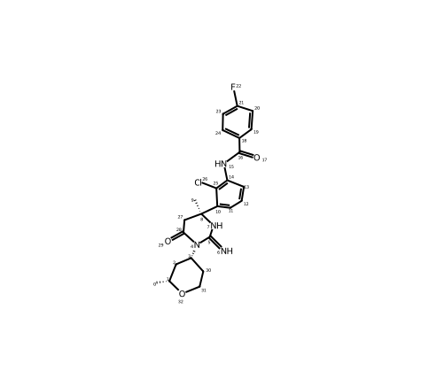 C[C@@H]1C[C@H](N2C(=N)N[C@](C)(c3cccc(NC(=O)c4ccc(F)cc4)c3Cl)CC2=O)CCO1